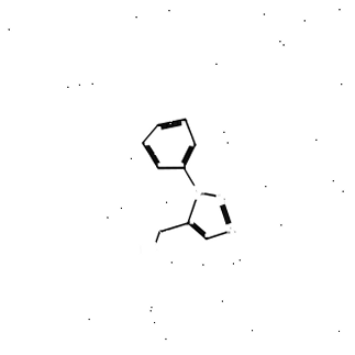 OCc1cnnn1-c1ccccc1